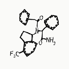 NC(=O)[C@H](c1ccccc1)N(C(=O)c1ccccc1)[C@@H]1CCc2c1cccc2C(F)(F)F